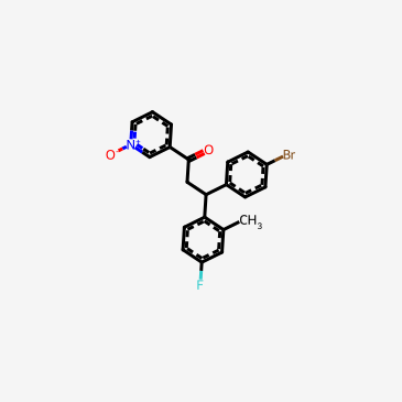 Cc1cc(F)ccc1C(CC(=O)c1ccc[n+]([O-])c1)c1ccc(Br)cc1